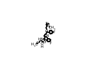 CSCC[C@H](NC(=O)c1ccc(C(OCCc2cncn2C)c2ccc(F)cc2)nc1-c1ccc(F)cc1)C(=O)O